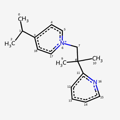 CC(C)c1cc[n+](CC(C)(C)c2ccccn2)cc1